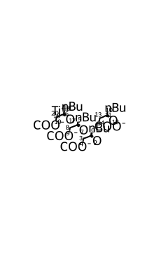 CCCCC(=O)CC(=O)[O-].CCCCC(=O)CC(=O)[O-].CCCCC(=O)CC(=O)[O-].CCCCC(=O)CC(=O)[O-].[Ti+4]